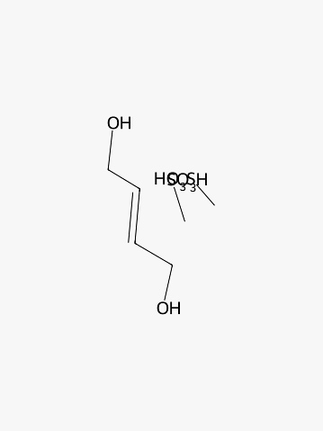 CS(=O)(=O)O.CS(=O)(=O)O.OCC=CCO